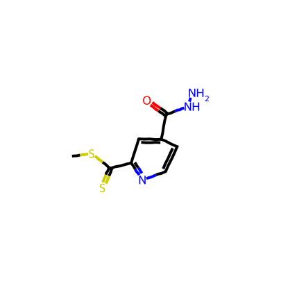 CSC(=S)c1cc(C(=O)NN)ccn1